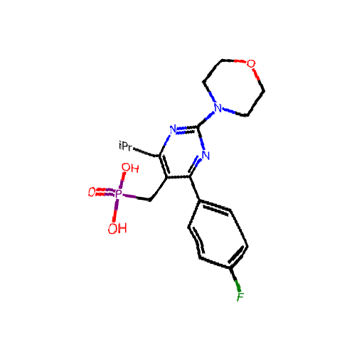 CC(C)c1nc(N2CCOCC2)nc(-c2ccc(F)cc2)c1CP(=O)(O)O